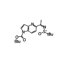 C/C(=N/[S+]([O-])C(C)(C)C)c1ccc2c(ccn2C(=O)OC(C)(C)C)n1